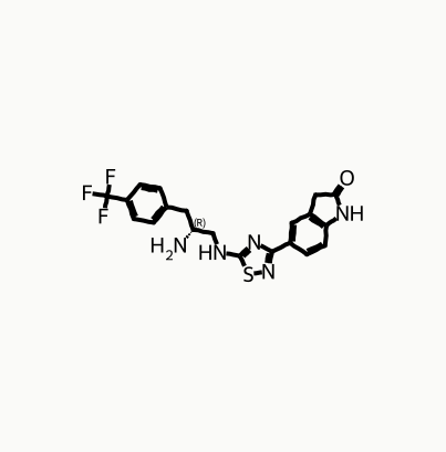 N[C@@H](CNc1nc(-c2ccc3c(c2)CC(=O)N3)ns1)Cc1ccc(C(F)(F)F)cc1